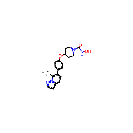 Cc1c(-c2ccc(OC3CCN(C(=O)NO)CC3)cc2)ccc2ccnn12